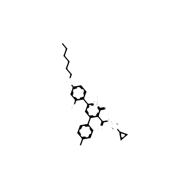 CCCCCCOc1ccc(-c2cc(-c3ccc(C)cc3)c(C(=O)NS(=O)(=O)C3CC3)c(=O)[nH]2)c(F)c1